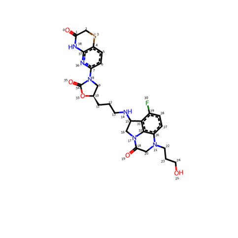 O=C1CSc2ccc(N3C[C@@H](CCCNC4CN5C(=O)CN(CCCO)c6ccc(F)c4c65)OC3=O)nc2N1